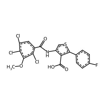 COc1c(Cl)c(Cl)cc(C(=O)Nc2csc(-c3ccc(F)cc3)c2C(=O)O)c1Cl